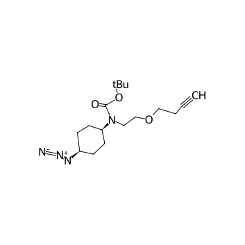 C#CCCOCCN(C(=O)OC(C)(C)C)[C@H]1CC[C@@H](N=[N+]=[N-])CC1